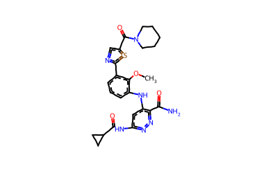 COc1c(Nc2cc(NC(=O)C3CC3)nnc2C(N)=O)cccc1-c1ncc(C(=O)N2CCCCC2)s1